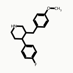 COc1ccc(CC2CNCCC2c2ccc(F)cc2)cc1